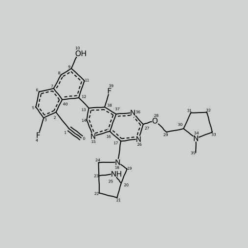 C#Cc1c(F)ccc2cc(O)cc(-c3cnc4c(N5CC6CCC(C5)N6)nc(OCC5CCCN5C)nc4c3F)c12